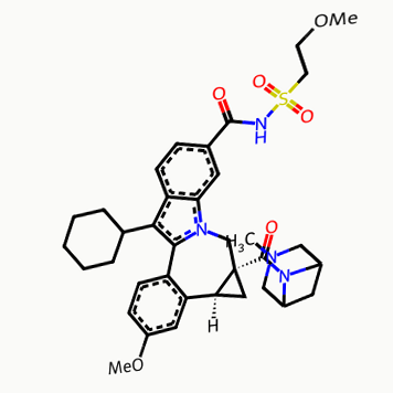 COCCS(=O)(=O)NC(=O)c1ccc2c(C3CCCCC3)c3n(c2c1)C[C@@]1(C(=O)N2C4CC2CN(C)C4)C[C@H]1c1cc(OC)ccc1-3